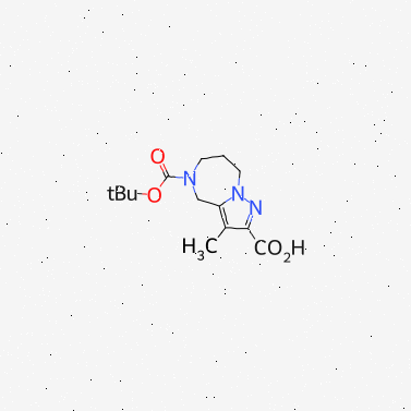 Cc1c(C(=O)O)nn2c1CN(C(=O)OC(C)(C)C)CCC2